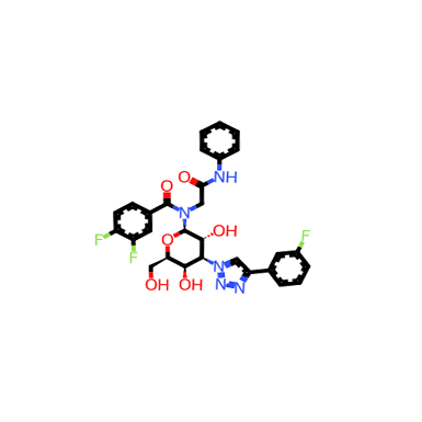 O=C(CN(C(=O)c1ccc(F)c(F)c1)[C@@H]1O[C@H](CO)[C@H](O)[C@H](n2cc(-c3cccc(F)c3)nn2)[C@H]1O)Nc1ccccc1